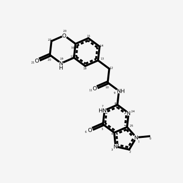 Cn1cnc2c(=O)[nH]c(NC(=O)Cc3ccc4c(c3)NC(=O)CO4)nc21